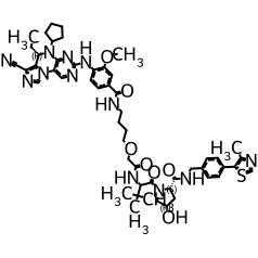 CC[C@@H]1c2c(C#N)ncn2-c2cnc(Nc3ccc(C(=O)NCCCCOCC(=O)NC(C(=O)N4C[C@H](O)C[C@H]4C(=O)NCc4ccc(-c5scnc5C)cc4)C(C)(C)C)cc3OC)nc2N1C1CCCC1